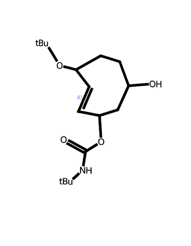 CC(C)(C)NC(=O)OC1/C=C/C(OC(C)(C)C)CCC(O)C1